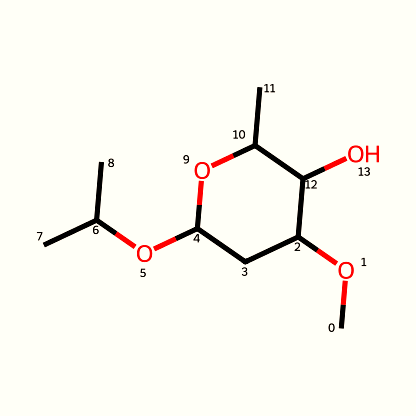 COC1CC(OC(C)C)OC(C)C1O